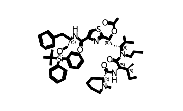 CCCN(C(=O)[C@@H](NC(=O)[C@H]1CCCCN1C)[C@@H](C)CC)[C@H](C[C@@H](OC(C)=O)c1nc(C(=O)N[C@H](CO[Si](c2ccccc2)(c2ccccc2)C(C)(C)C)Cc2ccccc2)cs1)C(C)C